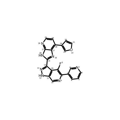 Fc1c(-c2cccnc2)ncc2[nH]nc(-c3nc4c(-c5ccoc5)ccnc4[nH]3)c12